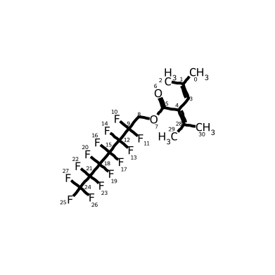 CC(C)=CC(C(=O)OCC(F)(F)C(F)(F)C(F)(F)C(F)(F)C(F)(F)C(F)(F)F)=C(C)C